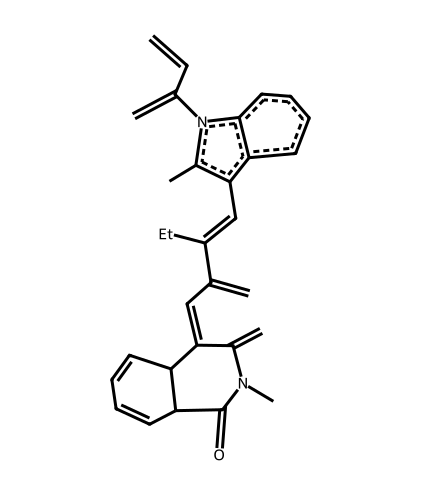 C=CC(=C)n1c(C)c(/C=C(\CC)C(=C)/C=C2\C(=C)N(C)C(=O)C3C=CC=CC23)c2ccccc21